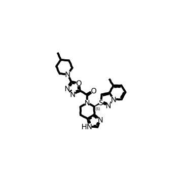 CC1=CC=CN2N=S([C@H]3c4nc[nH]c4CCN3C(=O)c3nnc(N4CCC(C)CC4)o3)C=C12